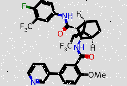 COc1ccc(-c2cccnc2)cc1C(=O)N[C@H]1[C@@H](C(=O)Nc2ccc(F)c(C(F)(F)F)c2)[C@H]2CC[C@@H]1/C2=C\C(F)(F)F